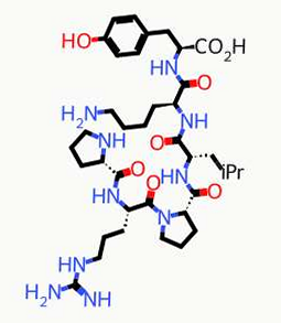 CC(C)C[C@H](NC(=O)[C@@H]1CCCN1C(=O)[C@H](CCCNC(=N)N)NC(=O)[C@@H]1CCCN1)C(=O)N[C@@H](CCCCN)C(=O)N[C@@H](Cc1ccc(O)cc1)C(=O)O